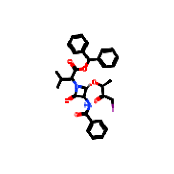 CC(C)=C(C(=O)OC(c1ccccc1)c1ccccc1)N1C(=O)[C@H](NC(=O)c2ccccc2)[C@H]1O[C@@H](C)C(=O)CI